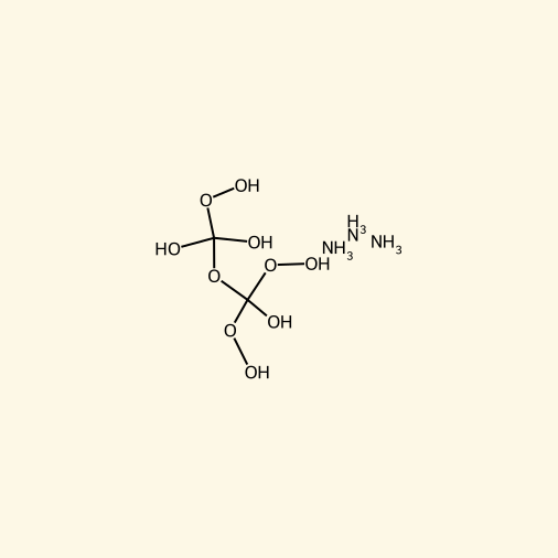 N.N.N.OOC(O)(O)OC(O)(OO)OO